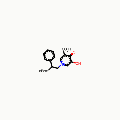 CCCCCC(Cn1cc(O)c(=O)c(C(=O)O)c1)c1ccccc1